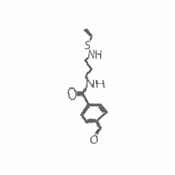 C=CSNCCCNC(=O)c1ccc(C=O)cc1